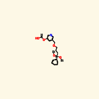 CCO[Si](CCCOCc1cncc(OBO)c1)(OCC)c1ccccc1